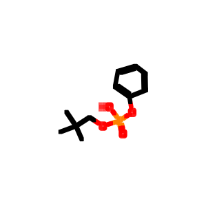 CC(C)(C)COP(=O)(O)Oc1ccccc1